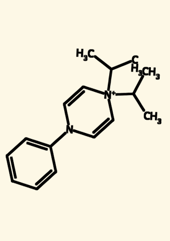 CC(C)[N+]1(C(C)C)C=CN(c2ccccc2)C=C1